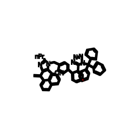 C=C(c1nc(CCC)n(Cc2ccc(-c3ccccc3-c3nnnn3C(c3ccccc3)(c3ccccc3)c3ccccc3)cc2)c1CO)c1cccc2ccccc12